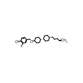 C=CCCC[C@H]1CC[C@H](C2CCC(OCc3ccc(Cl)c(F)c3)CC2)CC1